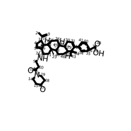 C=C(C)[C@@H]1CC[C@]2(CNCCC(=O)N3CCC(=O)CC3)CC[C@]3(C)[C@H](CC[C@@H]4[C@@]5(C)CC=C(c6ccc(C(=O)O)cc6)C(C)(C)[C@@H]5CC[C@]43C)[C@@H]12